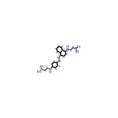 CCN(CC)CCNc1ccc(N=Nc2ccc(NCCN(CC)CC)c3ccccc23)cc1